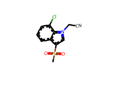 CS(=O)(=O)c1cn(CC#N)c2c(Cl)cccc12